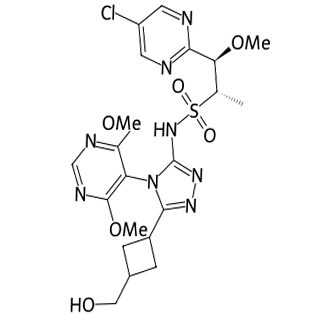 COc1ncnc(OC)c1-n1c(NS(=O)(=O)[C@@H](C)[C@H](OC)c2ncc(Cl)cn2)nnc1C1CC(CO)C1